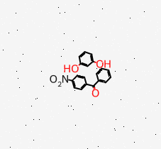 O=C(c1ccccc1)c1ccc([N+](=O)[O-])cc1.Oc1cccc(O)c1